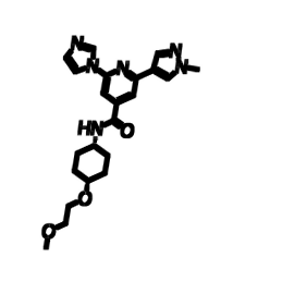 COCCO[C@H]1CC[C@H](NC(=O)c2cc(-c3cnn(C)c3)nc(-n3ccnc3)c2)CC1